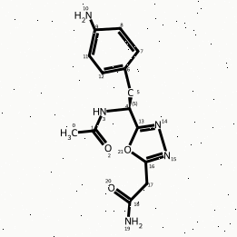 CC(=O)N[C@@H](Cc1ccc(N)cc1)c1nnc(CC(N)=O)o1